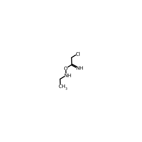 CCNOC(=N)CCl